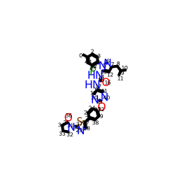 Cc1ccc(-n2nc(CC(C)C)cc2NC(=O)Nc2cnc(Oc3ccc(-c4cnc(N5CCCC5=O)s4)cc3)nc2)c(F)c1